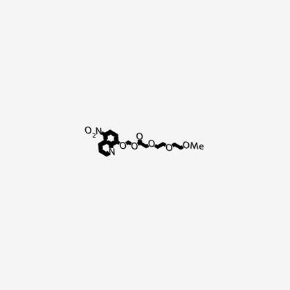 COCCOCCOCC(=O)OCOc1ccc([N+](=O)[O-])c2cccnc12